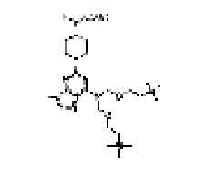 CCOC(=O)C(F)[C@H]1CC[C@@H](c2cc(N(COCC[Si](C)(C)C)COCC[Si](C)(C)C)n3ncc(I)c3n2)CC1